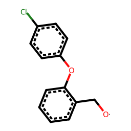 [O]Cc1ccccc1Oc1ccc(Cl)cc1